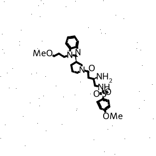 COCCCn1c([C@@H]2CCCN(C(=O)C[C@@H](N)CNS(=O)(=O)c3ccc(OC)cc3)C2)nc2ccccc21